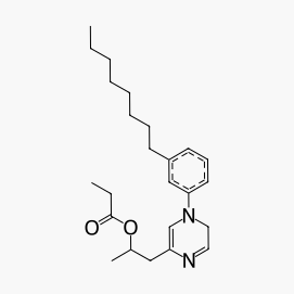 CCCCCCCCc1cccc(N2C=C(CC(C)OC(=O)CC)N=CC2)c1